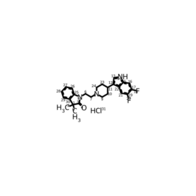 CC1(C)C(=O)N(CCN2CCC(c3c[nH]c4cc(F)c(F)cc34)CC2)c2ccccc21.Cl